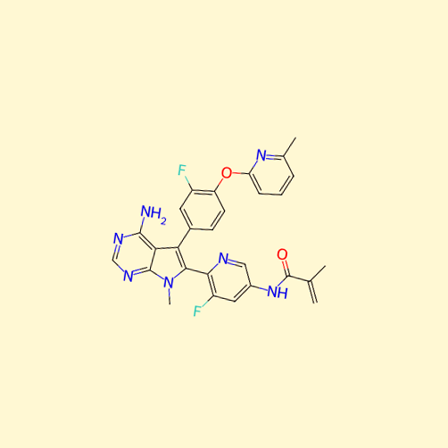 C=C(C)C(=O)Nc1cnc(-c2c(-c3ccc(Oc4cccc(C)n4)c(F)c3)c3c(N)ncnc3n2C)c(F)c1